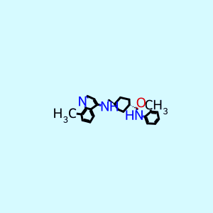 Cc1ccccc1NC(=O)[C@H]1CC[C@H](CNc2ccnc3c(C)cccc23)CC1